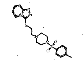 Cc1ccc(S(=O)(=O)N2CCN(CCSc3nnc4ccccn34)CC2)cc1